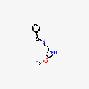 COC1CNC(CCNC2CC2c2ccccc2)C1